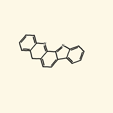 c1ccc2c(c1)Cc1ccc3c(c1=N2)=Nc1ccccc1-3